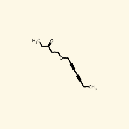 CCC#CC#CCOCCC(=O)CC